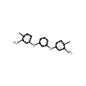 Nc1cc(Oc2cccc(Oc3ccc(I)c(N)c3)c2)ccc1I